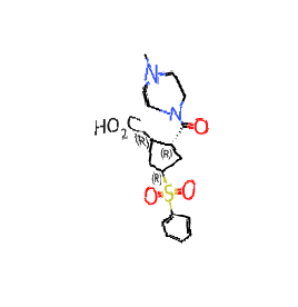 CN1CCN(C(=O)[C@@H]2C[C@@H](S(=O)(=O)c3ccccc3)C[C@H]2C(=O)O)CC1